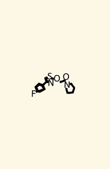 O=C(COc1nc(-c2ccc(F)cc2)cs1)N1CCCCC1